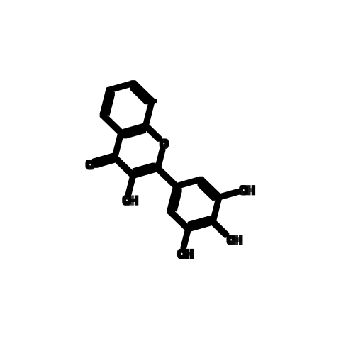 O=c1c(O)c(-c2cc(O)c(O)c(O)c2)oc2[c]cccc12